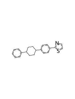 c1ccc(C2CCC(c3ccc(-c4nccs4)cc3)CC2)cc1